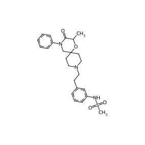 CC1OC2(CCN(CCc3cccc(NS(C)(=O)=O)c3)CC2)CN(c2ccccc2)C1=O